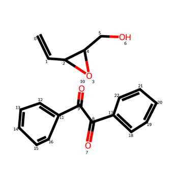 C=CC1OC1CO.O=C(C(=O)c1ccccc1)c1ccccc1